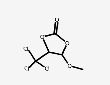 COC1OC(=O)OC1C(Cl)(Cl)Cl